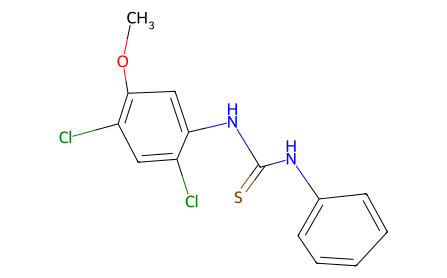 COc1cc(NC(=S)Nc2ccccc2)c(Cl)cc1Cl